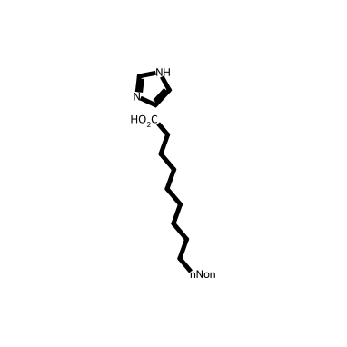 CCCCCCCCCCCCCCCCCC(=O)O.c1c[nH]cn1